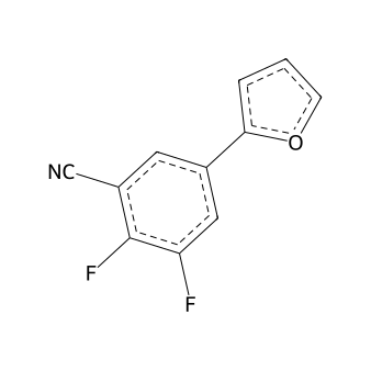 N#Cc1cc(-c2ccco2)cc(F)c1F